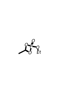 CCOP1(=O)OC(C)O1